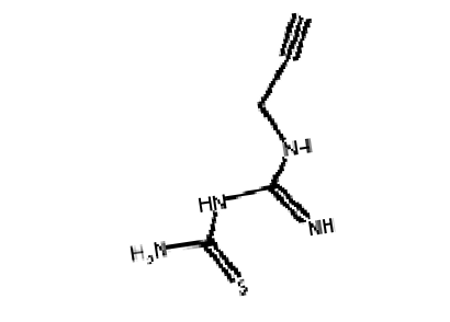 C#CCNC(=N)NC(N)=S